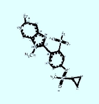 CCS(=O)(=O)c1cc(N=S(C)(=O)C2CC2)cnc1-c1nc2cc(C(F)(F)F)ncc2n1C